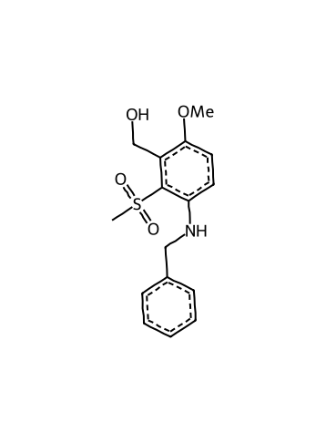 COc1ccc(NCc2ccccc2)c(S(C)(=O)=O)c1CO